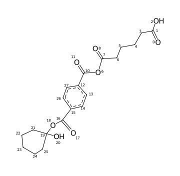 O=C(O)CCCCC(=O)OC(=O)c1ccc(C(=O)OC2(O)CCCCC2)cc1